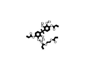 C=CC(=O)OCCOC(=O)C=C.C=CC(=O)Oc1ccc(C(C)(C)c2ccc(OC(=O)C=C)c(OCC)c2OCC)c(OCC)c1OCC